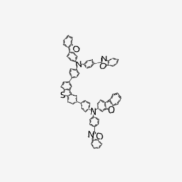 c1ccc2oc(-c3ccc(N(c4ccc(-c5ccc6sc7ccc(-c8ccc(N(c9ccc(-c%10nc%11ccccc%11o%10)cc9)c9ccc%10c(c9)oc9ccccc9%10)cc8)cc7c6c5)cc4)c4ccc5c(c4)oc4ccccc45)cc3)nc2c1